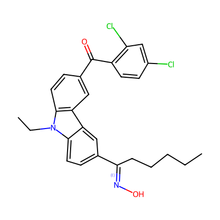 CCCCC/C(=N\O)c1ccc2c(c1)c1cc(C(=O)c3ccc(Cl)cc3Cl)ccc1n2CC